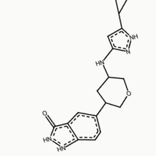 O=c1[nH][nH]c2ccc(C3COCC(Nc4cc(C5CC5)[nH]n4)C3)cc12